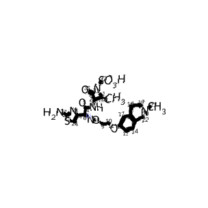 C[C@H]1[C@H](NC(=O)/C(=N\OCCOc2ccc3c(c2)CCN(C)C3)c2csc(N)n2)C(=O)N1S(=O)(=O)O